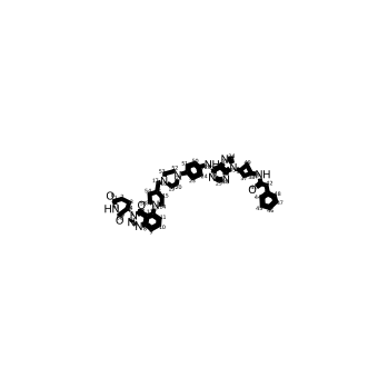 O=C1CC[C@H](n2nnc3cccc(N4CCC(CN5CCN(c6ccc(Nc7ncnc8c7ncn8C7CC(NC(=O)Cc8ccccc8)C7)cc6)CC5)CC4)c3c2=O)C(=O)N1